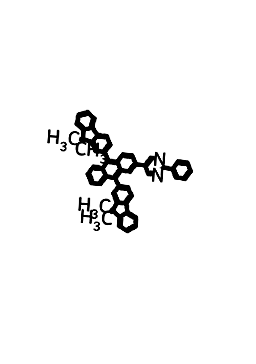 CC1(C)c2ccccc2-c2ccc(-c3c4ccccc4c(-c4ccc5c(c4)C(C)(C)c4ccccc4-5)c4cc(-c5cnc(-c6ccccc6)nc5)ccc34)cc21